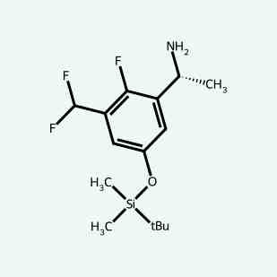 C[C@@H](N)c1cc(O[Si](C)(C)C(C)(C)C)cc(C(F)F)c1F